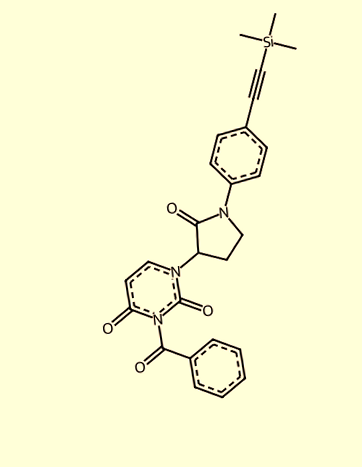 C[Si](C)(C)C#Cc1ccc(N2CCC(n3ccc(=O)n(C(=O)c4ccccc4)c3=O)C2=O)cc1